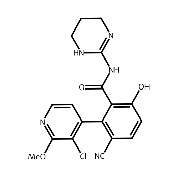 COc1nccc(-c2c(C#N)ccc(O)c2C(=O)NC2=NCCCN2)c1Cl